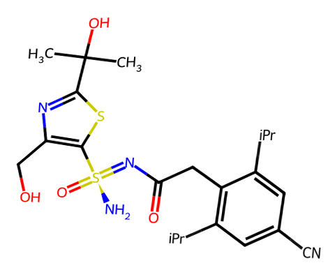 CC(C)c1cc(C#N)cc(C(C)C)c1CC(=O)N=[S@](N)(=O)c1sc(C(C)(C)O)nc1CO